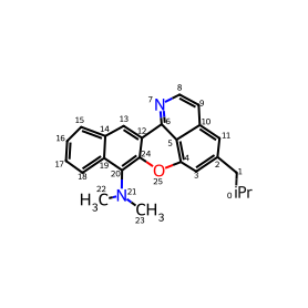 CC(C)Cc1cc2c3c(nccc3c1)-c1cc3ccccc3c(N(C)C)c1O2